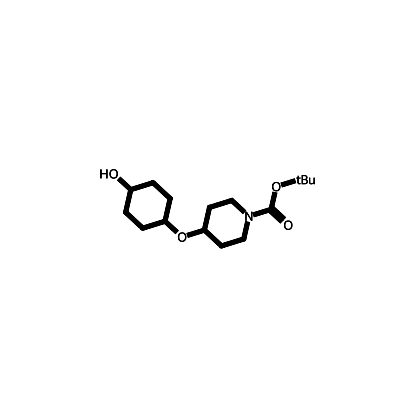 CC(C)(C)OC(=O)N1CCC(OC2CCC(O)CC2)CC1